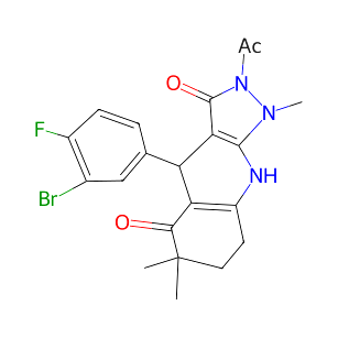 CC(=O)n1c(=O)c2c(n1C)NC1=C(C(=O)C(C)(C)CC1)C2c1ccc(F)c(Br)c1